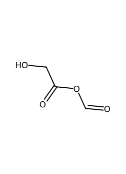 O=COC(=O)CO